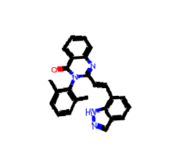 Cc1cccc(C)c1-n1c(/C=C/c2cccc3cn[nH]c23)nc2ccccc2c1=O